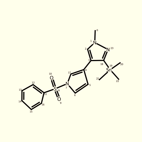 Cn1cc(-c2ccn(S(=O)(=O)c3ccccc3)c2)[c]([Sn]([CH3])([CH3])[CH3])n1